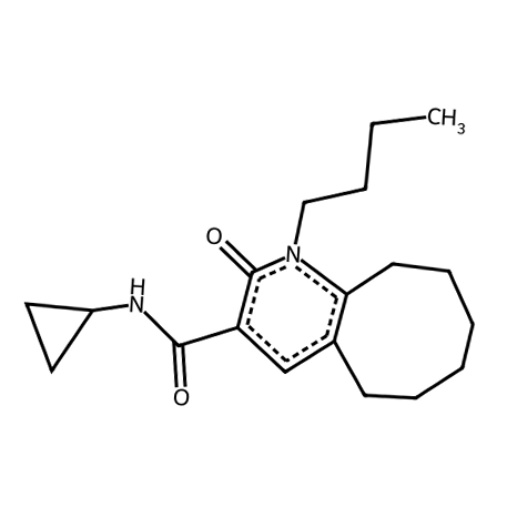 CCCCn1c2c(cc(C(=O)NC3CC3)c1=O)CCCCCC2